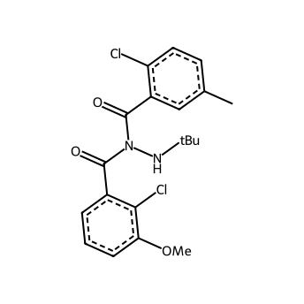 COc1cccc(C(=O)N(NC(C)(C)C)C(=O)c2cc(C)ccc2Cl)c1Cl